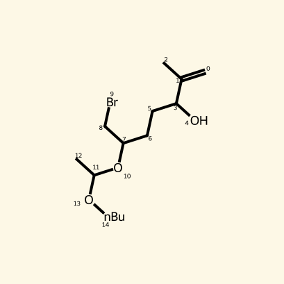 C=C(C)C(O)CCC(CBr)OC(C)OCCCC